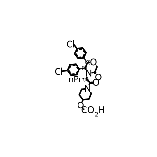 CCC[C@@H](C(=O)N1CCC(OC(=O)O)CC1)N1C(=O)CO[C@H](c2ccc(Cl)cc2)[C@@H]1c1ccc(Cl)cc1